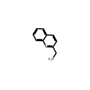 NCc1ccc2ccccc2n1